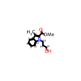 COC(=O)c1c(C)c2ccccc2n1CCCO